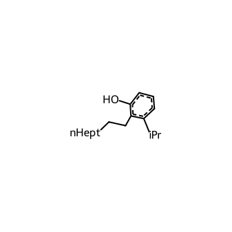 CCCCCCCCCc1c(O)cccc1C(C)C